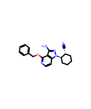 N#C[C@@H]1CCCC[C@H]1n1nc(N)c2c(OCc3ccccc3)nccc21